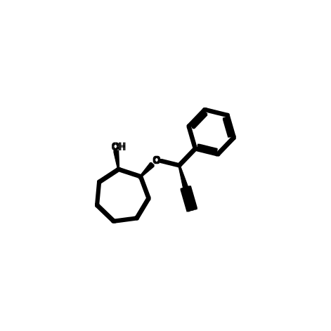 C#C[C@@H](O[C@H]1CCCCC[C@H]1O)c1ccccc1